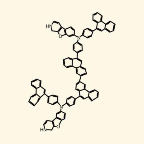 C1=Cc2c(oc3cc(N(c4ccc(-c5cc6ccccc6c6ccccc56)cc4)c4ccc(-c5cc6ccc(-c7ccc8c(-c9ccc(N(c%10ccc(-c%11cc%12ccccc%12c%12ccccc%11%12)cc%10)c%10ccc%11oc%12c(c%11c%10)C=CNC%12)cc9)cc9ccccc9c8c7)cc6c6ccccc56)cc4)ccc23)CN1